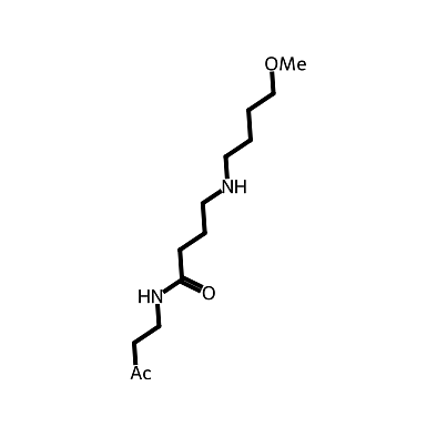 COCCCCNCCCC(=O)NCCC(C)=O